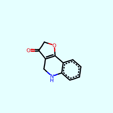 O=C1COC2=C1CNc1ccccc12